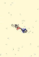 Cc1cc(C(=O)OCCCNC2=NCc3ccccc32)ccc1[N+](=O)[O-]